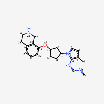 C=N/C=N\c1c(C)ccn1C1CC[C@@H](Oc2cccc3c2CNCC3)C1